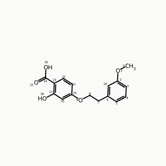 COc1cccc(CCOc2ccc(C(=O)O)c(O)c2)c1